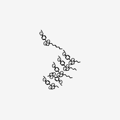 CCCC1CCOC(c2ccc(OCC)cc2)O1.CCCCC1CCOC(c2ccc(OCC)cc2)O1.CCCCCC1CCOC(c2ccc(OCC)cc2)O1.CCCCCCCC1CCOC(c2ccc(OCC)cc2)O1.CCOc1ccc(C2OCCC(C)O2)cc1.CCOc1ccc(C2OCCC(CC)O2)cc1